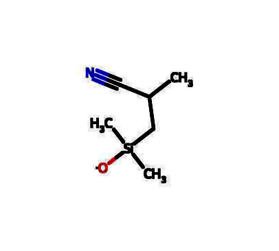 CC(C#N)C[Si](C)(C)[O]